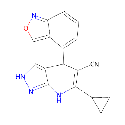 N#CC1=C(C2CC2)Nc2n[nH]cc2C1c1cccc2nocc12